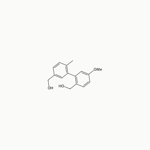 COc1ccc(CO)c(-c2cc(CO)ccc2C)c1